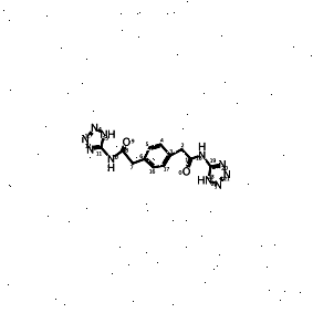 O=C(Cc1ccc(CC(=O)Nc2nnn[nH]2)cc1)Nc1nnn[nH]1